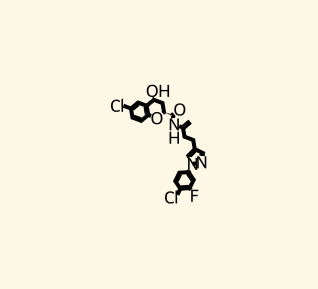 C=C(CCc1cnn(-c2ccc(Cl)c(F)c2)c1)NC(=O)[C@H]1C[C@@H](O)c2cc(Cl)ccc2O1